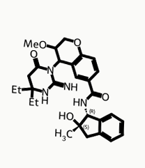 CCC1(CC)CC(=O)N(C2c3cc(C(=O)N[C@@H]4c5ccccc5C[C@]4(C)O)ccc3OCC2OC)C(=N)N1